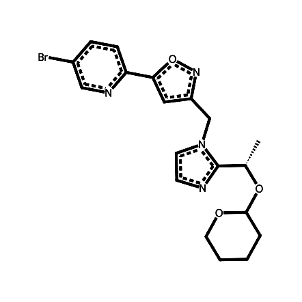 C[C@H](OC1CCCCO1)c1nccn1Cc1cc(-c2ccc(Br)cn2)on1